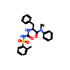 Cc1ccccc1S(=O)(=O)NC(=O)NC(Cc1ccccc1)C(=O)N(c1ccccc1)C(C)C